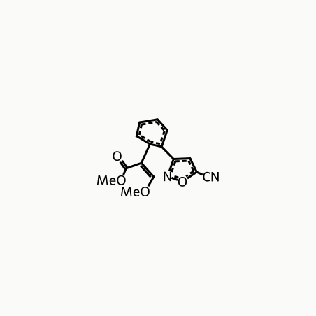 COC=C(C(=O)OC)c1ccccc1-c1cc(C#N)on1